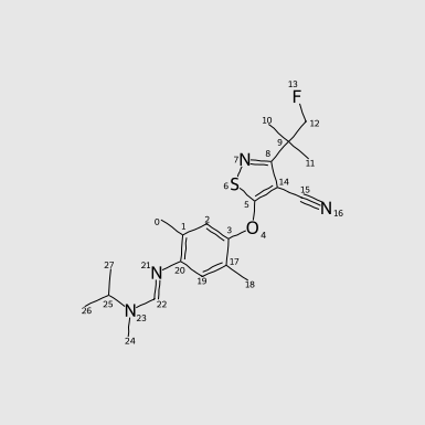 Cc1cc(Oc2snc(C(C)(C)CF)c2C#N)c(C)cc1N=CN(C)C(C)C